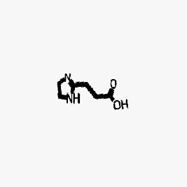 O=C(O)CCC1=NCCN1